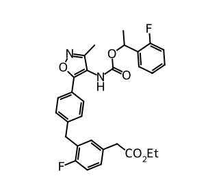 CCOC(=O)Cc1ccc(F)c(Cc2ccc(-c3onc(C)c3NC(=O)OC(C)c3ccccc3F)cc2)c1